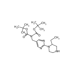 CCC1CNCCN1c1ncc(CN(C(=O)OC(C)(C)C)C(=O)OC(C)(C)C)cn1